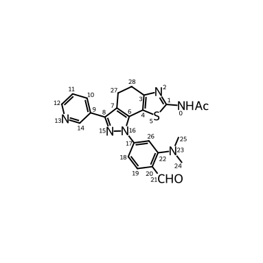 CC(=O)Nc1nc2c(s1)-c1c(c(-c3cccnc3)nn1-c1ccc(C=O)c(N(C)C)c1)CC2